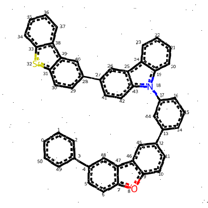 c1ccc(-c2ccc3oc4ccc(-c5cccc(-n6c7ccccc7c7cc(-c8ccc9sc%10ccccc%10c9c8)ccc76)c5)cc4c3c2)cc1